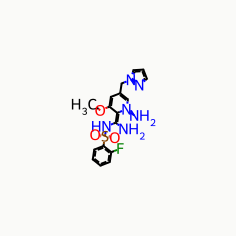 COC1=CC(Cn2cccn2)=CN(N)/C1=C(\N)NS(=O)(=O)c1ccccc1F